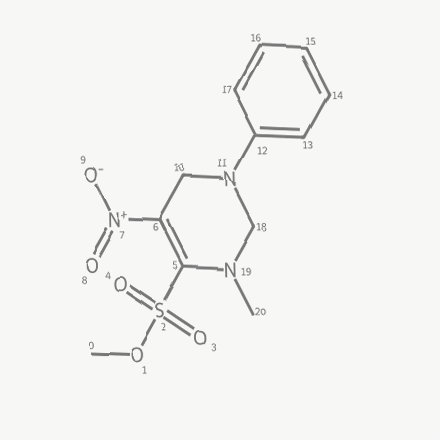 COS(=O)(=O)C1=C([N+](=O)[O-])CN(c2ccccc2)CN1C